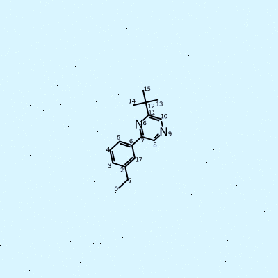 CCc1cccc(-c2cncc(C(C)(C)C)n2)c1